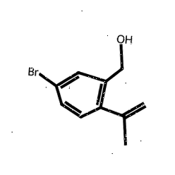 C=C(C)c1ccc(Br)cc1CO